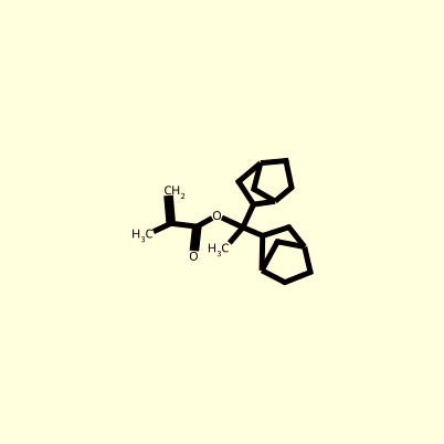 C=C(C)C(=O)OC(C)(C1CC2CCC1C2)C1CC2CCC1C2